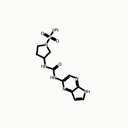 CCCS(=O)(=O)N1CCC(NC(=O)Nc2cnc3[nH]ccc3n2)C1